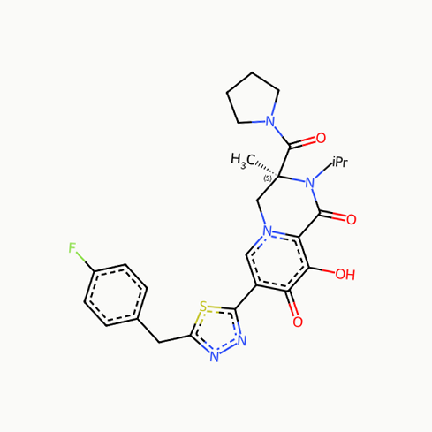 CC(C)N1C(=O)c2c(O)c(=O)c(-c3nnc(Cc4ccc(F)cc4)s3)cn2C[C@@]1(C)C(=O)N1CCCC1